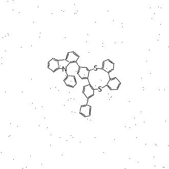 c1ccc(-c2ccc3c(c2)Sc2ccccc2-c2ccccc2Sc2cc(-c4cccc5c6ccccc6n(-c6ccccc6)c45)ccc2-3)cc1